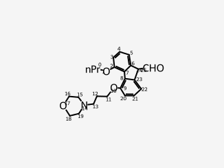 CCCOc1cccc2c1-c1c(OCCCN3CCOCC3)cccc1C2C=O